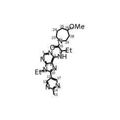 CCC(Nc1ncnc2c1nc(-c1cnc(C)nc1)n2CC)C(=O)N1CCCC(OC)CC1